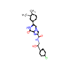 Cc1ccc(-c2cn3cc(C(=O)NCC(O)c4ccc(Cl)cc4)nc3c(=O)[nH]2)cc1C